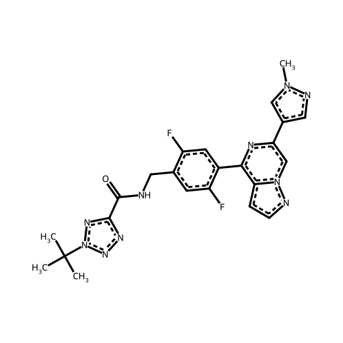 Cn1cc(-c2cn3nccc3c(-c3cc(F)c(CNC(=O)c4nnn(C(C)(C)C)n4)cc3F)n2)cn1